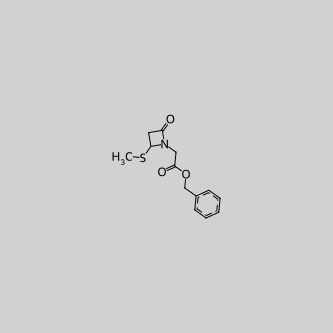 CSC1CC(=O)N1CC(=O)OCc1ccccc1